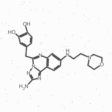 Nc1nc2c3ccc(NCCN4CCOCC4)cc3nc(Cc3ccc(O)c(O)c3)n2n1